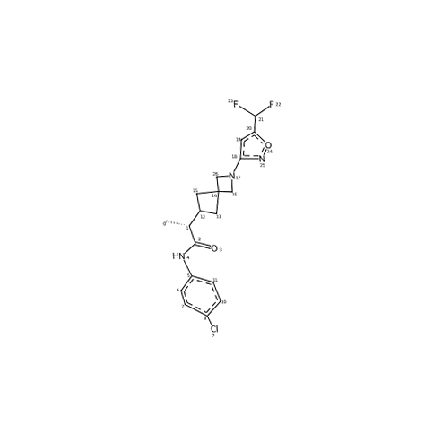 C[C@@H](C(=O)Nc1ccc(Cl)cc1)C1CC2(C1)CN(c1cc(C(F)F)on1)C2